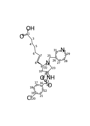 O=C(O)CCCCC=C[C@@H]1C[C@@H](NS(=O)(=O)c2ccc(Cl)cc2)CN1Cc1cccnc1